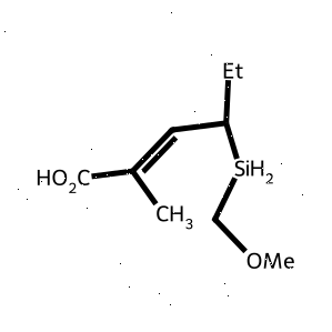 CCC(C=C(C)C(=O)O)[SiH2]COC